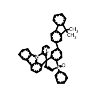 CC1(C)c2ccccc2-c2ccc(-c3ccc4c(c3)C3(c5ccccc5-n5c6ccccc6c6cccc3c65)c3ccccc3P4(=O)c3ccccc3)cc21